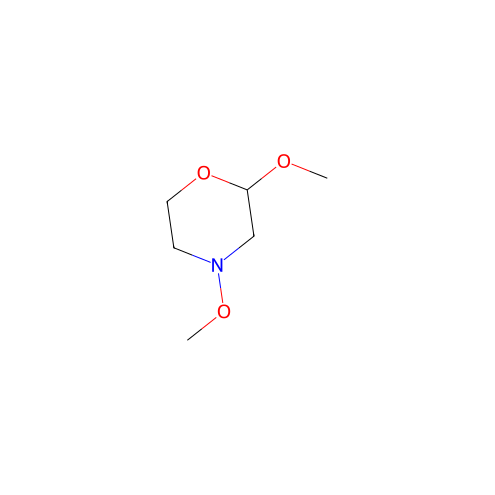 COC1CN(OC)CCO1